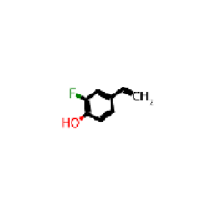 C=Cc1ccc(O)c(F)c1